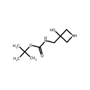 CC(C)(C)OC(=O)NCC1(O)CNC1